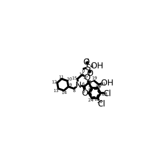 CS(=O)(=O)O.O=C1N(CC2CCCCC2)CCO[C@]1(CCO)c1ccc(Cl)c(Cl)c1